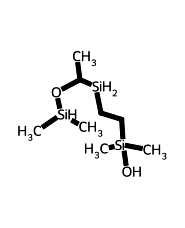 CC(O[SiH](C)C)[SiH2]CC[Si](C)(C)O